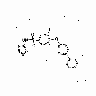 O=S(=O)(Nc1cscn1)c1ccc(Oc2ccc(-c3ccccc3)cc2)c(F)c1